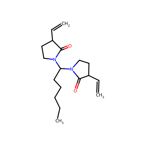 C=CC1CCN(C(CCCCC)N2CCC(C=C)C2=O)C1=O